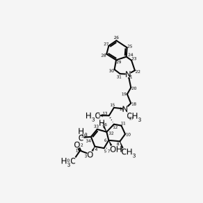 CC(=O)O[C@@H]1[CH][C@@]2(O)[C@H](C)CC[C@@H](C(C)CN(C)CCCN3CCc4ccccc4CC3)[C@H]2C=C1C